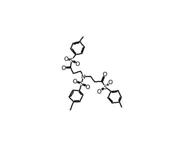 Cc1ccc(S(=O)(=O)C(=O)CCN(CCC(=O)S(=O)(=O)c2ccc(C)cc2)S(=O)(=O)c2ccc(C)cc2)cc1